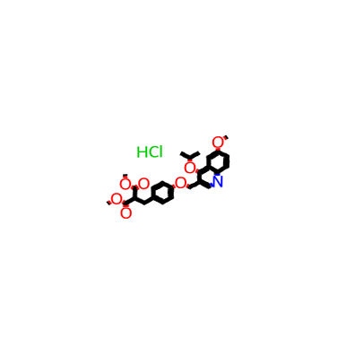 COC(=O)C(Cc1ccc(OCc2cnc3ccc(OC)cc3c2OC(C)C)cc1)C(=O)OC.Cl